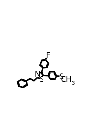 CSc1ccc(-c2sc(CCc3ccccc3)nc2-c2ccc(F)cc2)cc1